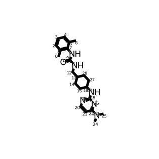 Cc1cccc(C)c1NC(=O)NCC1CCC(Nc2nccc(N(C)C)n2)CC1